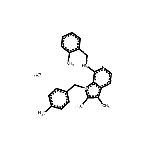 Cc1ccc(Cn2c(C)c(C)c3ccnc(NCc4ccccc4C)c32)cc1.Cl